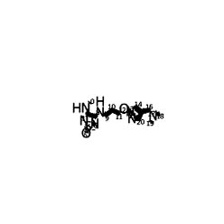 CNc1n[s+]([O-])nc1NCCCOn1cc(CN(C)C)cn1